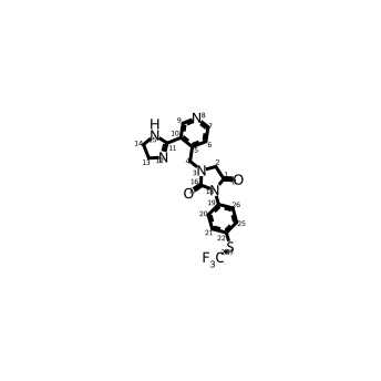 O=C1CN(Cc2ccncc2C2=NCCN2)C(=O)N1c1ccc(SC(F)(F)F)cc1